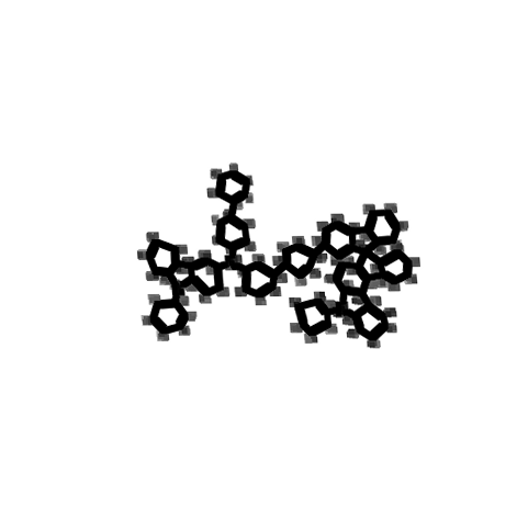 c1ccc(-c2ccc(N(c3cccc(-c4ccc(-c5ccc6c(c5)C5(c7ccccc7-6)c6ccccc6-c6c5ccc5c6c6ccccc6n5-c5ccccc5)cc4)c3)c3ccc4c(c3)c3ccccc3n4-c3ccccc3)cc2)cc1